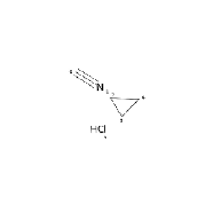 C#N.C1CC1.Cl